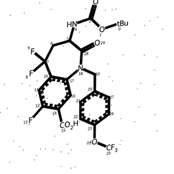 CC(C)(C)OC(=O)NC1CC(F)(F)c2cc(F)c(C(=O)O)cc2N(Cc2ccc(OC(F)(F)F)cc2)C1=O